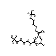 CC(COC(=O)CCCCCC(C)(C)C)OC(=O)CCCCCC(C)(C)C